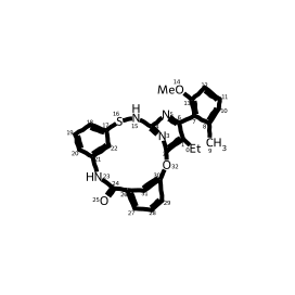 CCc1c2nc(nc1-c1c(C)cccc1OC)NSc1cccc(c1)NC(=O)c1cccc(c1)O2